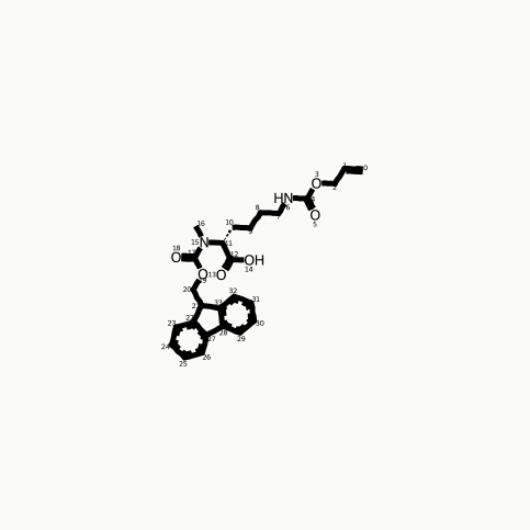 C=CCOC(=O)NCCCC[C@H](C(=O)O)N(C)C(=O)OCC1c2ccccc2-c2ccccc21